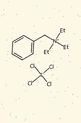 CC[N+](CC)(CC)Cc1ccccc1.Cl[I-](Cl)(Cl)Cl